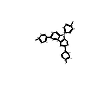 Cc1ccc(-c2ccc3c(c2)c2cc(-c4ccc(C)cc4)ccc2n3-c2ccc(C)cc2)cc1